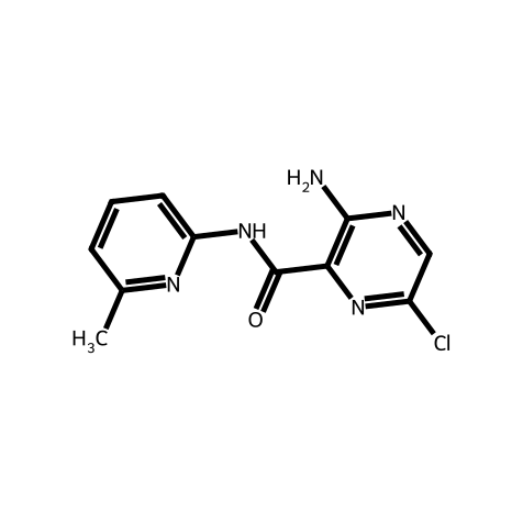 Cc1cccc(NC(=O)c2nc(Cl)cnc2N)n1